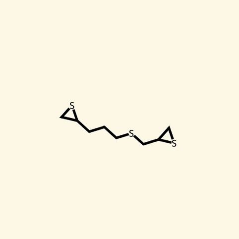 C(CSCC1CS1)CC1CS1